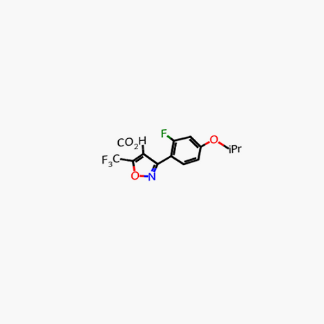 CC(C)Oc1ccc(-c2noc(C(F)(F)F)c2C(=O)O)c(F)c1